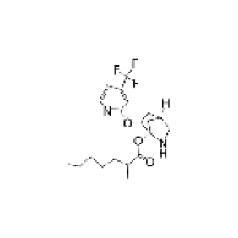 CCCCCC(C)C(=O)O[C@]12C[C@H](CN1)C[C@H]2Oc1cc(C(F)(F)F)ccn1